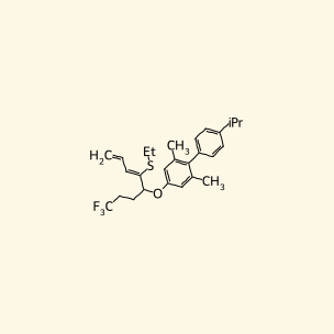 C=C/C=C(\SCC)C(CCC(F)(F)F)Oc1cc(C)c(-c2ccc(C(C)C)cc2)c(C)c1